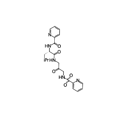 CC(C)C[C@H](NC(=O)c1ccccn1)C(=O)NCC(=O)CNS(=O)(=O)c1ccccn1